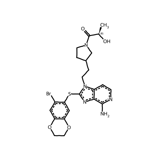 C[C@@H](O)C(=O)N1CCC(CCn2c(Sc3cc4c(cc3Br)OCCO4)nc3c(N)nccc32)C1